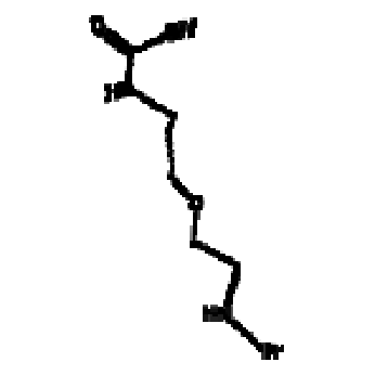 CC(C)NCCOCCNC(=O)S